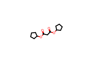 O=C(CC(=O)OC1CCCC1)OC1CCCC1